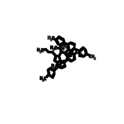 CCCCC1=Cc2c(-c3ccc(C)cc3)ccc(-c3ccc(C)cc3)c2[CH]1[Zr]([CH]1C(CCCC)=Cc2c(-c3ccc(C)cc3)ccc(-c3ccc(C)cc3)c21)[SiH](C)C